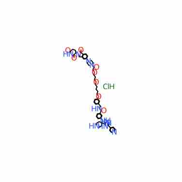 Cl.O=C1CCC(N2Cc3cc(N4CCN(C(=O)COCCCOCCCCCOc5cccc(CNC(=O)c6cccc(NC7(c8nnc(-c9ccncc9)[nH]8)CCNCC7)c6)c5)CC4)ccc3C2=O)C(=O)N1